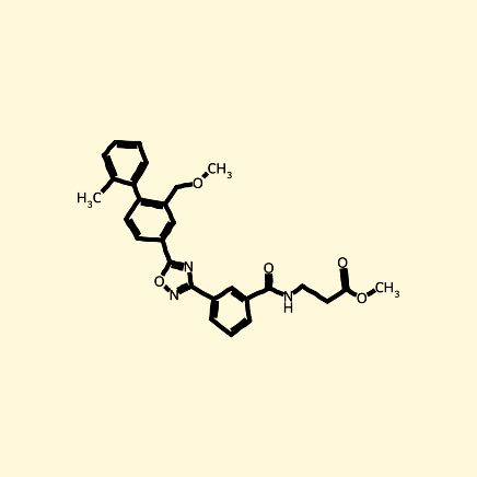 COCc1cc(-c2nc(-c3cccc(C(=O)NCCC(=O)OC)c3)no2)ccc1-c1ccccc1C